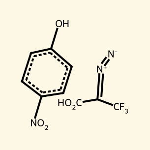 O=[N+]([O-])c1ccc(O)cc1.[N-]=[N+]=C(C(=O)O)C(F)(F)F